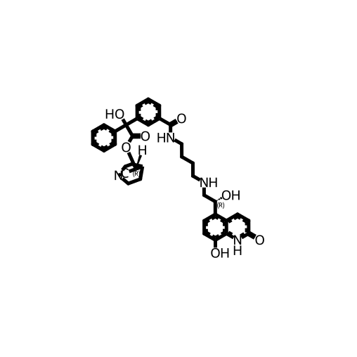 O=C(NCCCCNC[C@H](O)c1ccc(O)c2[nH]c(=O)ccc12)c1cccc(C(O)(C(=O)O[C@H]2CN3CCC2CC3)c2ccccc2)c1